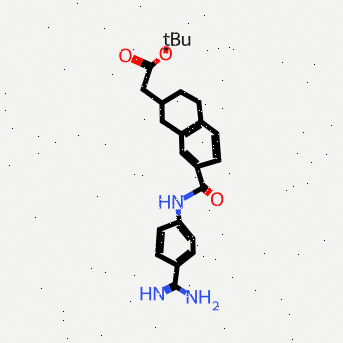 CC(C)(C)OC(=O)CC1CCc2ccc(C(=O)Nc3ccc(C(=N)N)cc3)cc2C1